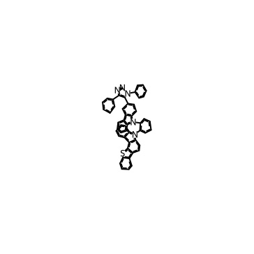 c1ccc(-c2nnn(-c3ccccc3)c2-c2ccc3c(c2)c2ccccc2n3-c2ccccc2-n2c3ccccc3c3c4sc5ccccc5c4ccc32)cc1